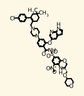 CC1(C)CCC(CN2CCN(c3ccc(C(=O)NS(=O)(=O)c4cc5c(c([N+](=O)[O-])c4)N[C@@H](COC4CCOCC4)CO5)c(Oc4cnc5[nH]ccc5c4)c3)CC2)=C(c2ccc(Cl)cc2)C1